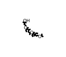 CCC(C)(OCCC(C)(C)O)C(C)CC(C)OC(C)(CC)C(C)(CC)CCOC(C)C